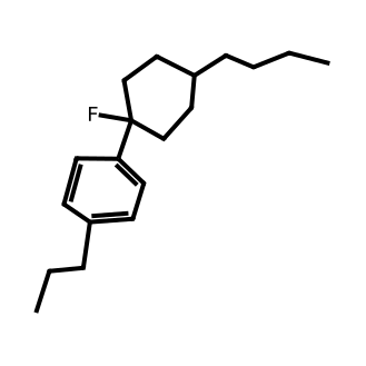 CCCCC1CCC(F)(c2ccc(CCC)cc2)CC1